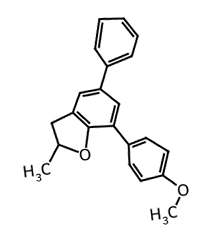 COc1ccc(-c2cc(-c3ccccc3)cc3c2OC(C)C3)cc1